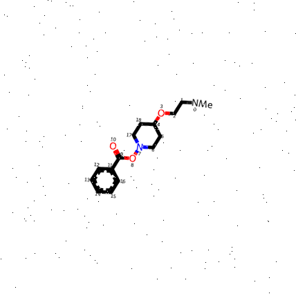 CNCCOC1CCN(OC(=O)c2ccccc2)CC1